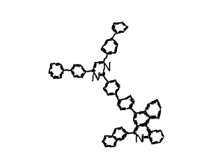 c1ccc(-c2ccc(-c3cc(-c4ccc(-c5ccccc5)cc4)nc(-c4ccc(-c5ccc(-c6cc7c(-c8ccc9ccccc9c8)nc8ccccc8c7c7ccccc67)cc5)cc4)n3)cc2)cc1